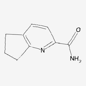 NC(=O)c1ccc2c(n1)CCC2